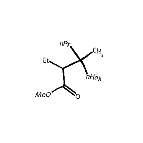 CCCCCCC(C)(CCC)C(CC)C(=O)OC